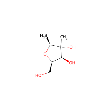 B[C@@H]1O[C@H](CO)[C@H](O)C1(C)O